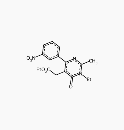 CCOC(=O)Cc1c(-c2cccc([N+](=O)[O-])c2)nc(C)n(CC)c1=O